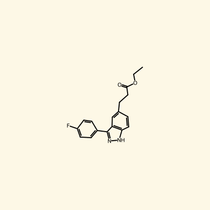 CCOC(=O)CCc1ccc2[nH]nc(-c3ccc(F)cc3)c2c1